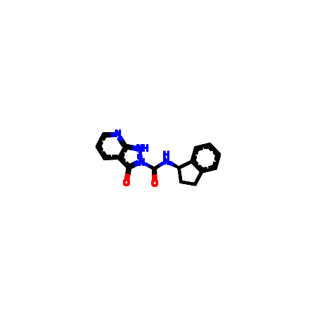 O=C(N[C@@H]1CCc2ccccc21)n1[nH]c2ncccc2c1=O